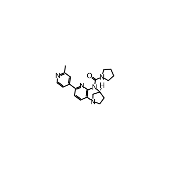 Cc1cc(-c2ccc3c(n2)N(C(=O)N2CCCC2)[C@H]2CCN3C2)ccn1